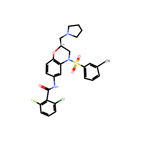 N#Cc1cccc(S(=O)(=O)N2C[C@H](CN3CCCC3)Oc3ccc(NC(=O)c4c(F)cccc4Cl)cc32)c1